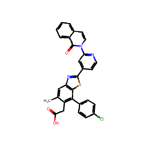 Cc1cc2nc(-c3ccnc(-n4ccc5ccccc5c4=O)c3)sc2c(-c2ccc(Cl)cc2)c1CC(=O)O